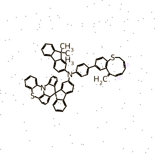 C=C1/C=C\C=C/CSc2ccc(-c3ccc(N(c4ccc5c(c4)C(C)(C)c4ccccc4-5)c4ccc5c(c4)C4(c6ccccc6-5)c5ccccc5N5c6ccccc6Sc6cccc4c65)cc3)cc21